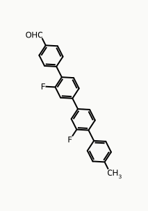 Cc1ccc(-c2ccc(-c3ccc(-c4ccc(C=O)cc4)c(F)c3)cc2F)cc1